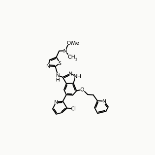 CON(C)Cc1cnc(Nc2n[nH]c3c(OCCc4ccccn4)cc(-c4ncccc4Cl)cc23)s1